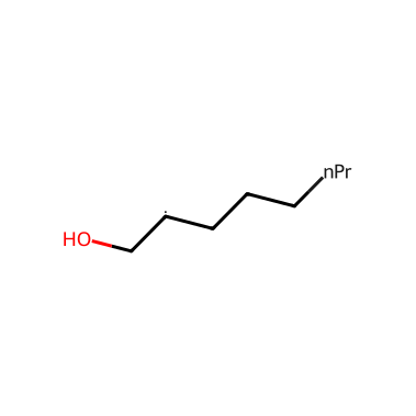 CCCCCC[CH]CO